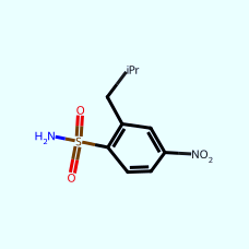 CC(C)Cc1cc([N+](=O)[O-])ccc1S(N)(=O)=O